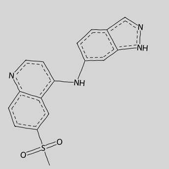 CS(=O)(=O)c1ccc2nccc(Nc3ccc4cn[nH]c4c3)c2c1